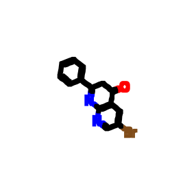 O=C1CC(c2ccccc2)=Nc2ncc(Br)cc21